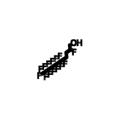 OC[C@H](F)CCC(F)(F)C(F)(F)C(F)(F)C(F)(F)C(F)(F)C(F)(F)F